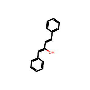 OC(C=Cc1ccccc1)=Cc1ccccc1